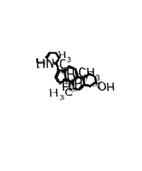 C[C@@H]1C=C2C[C@@H](O)CC[C@]2(C)[C@H]2CC[C@]3(C)C(C4CCCCN4)=CC[C@H]3[C@H]12